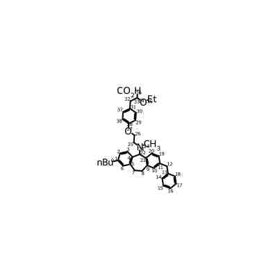 CCCCc1ccc2c(c1)CCc1cc(Cc3ccccc3)ccc1C2N(C)CCOc1ccc(CC(OCC)C(=O)O)cc1